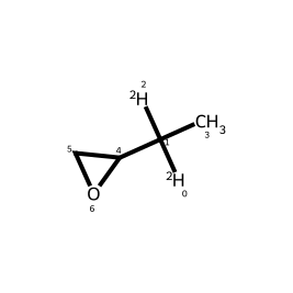 [2H]C([2H])(C)C1CO1